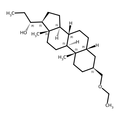 CCOC[C@H]1CC[C@@]2(C)[C@H](CC[C@@H]3[C@@H]2CC[C@]2(C)[C@@H]([C@H](O)CC)CC[C@@H]32)C1